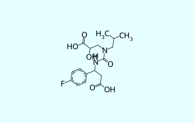 CC(C)CN(CC(O)C(=O)O)C(=O)NC(CC(=O)O)c1ccc(F)cc1